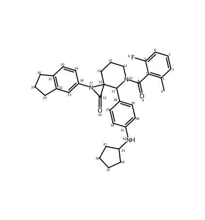 Cc1cccc(F)c1C(=O)N1CCCC2(C(=O)N2c2ccc3c(c2)CCC3)C1c1ccc(NC2CCCC2)cc1